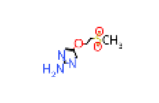 CS(=O)(=O)CCOc1cnc(N)nc1